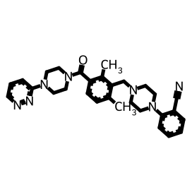 Cc1ccc(C(=O)N2CCN(c3cccnn3)CC2)c(C)c1CN1CCN(c2ccccc2C#N)CC1